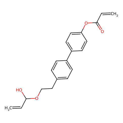 C=CC(=O)Oc1ccc(-c2ccc(CCOC(O)C=C)cc2)cc1